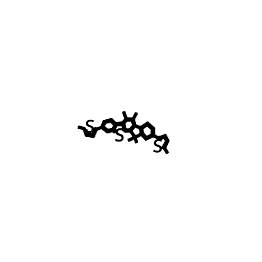 Cc1ccc(-c2ccc3c(c2)C(C)(C)c2c-3c(C)c(C)c3c2sc2cc(-c4ccc(C)s4)ccc23)s1